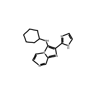 c1cn2c(NC3CCCCC3)c(-c3ncc[nH]3)nc2cn1